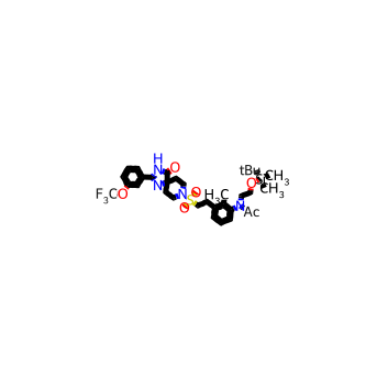 CC(=O)N(CCO[Si](C)(C)C(C)(C)C)c1cccc(CCS(=O)(=O)N2CCC3(CC2)N=C(c2cccc(OC(F)(F)F)c2)NC3=O)c1C